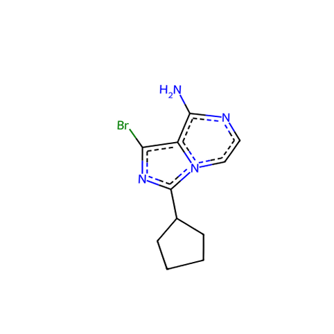 Nc1nccn2c(C3CCCC3)nc(Br)c12